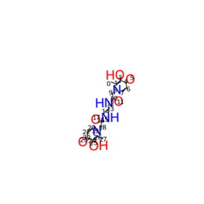 Cc1c(O)c(=O)ccn1CC(=O)NCCNC(=O)Cn1ccc(=O)c(O)c1C